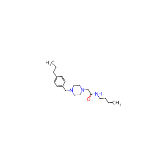 CCCCNC(=O)CN1CCN(Cc2ccc(CCC)cc2)CC1